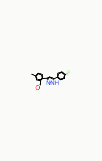 Cc1ccc(-c2cc(-c3ccc(F)cc3)[nH]n2)c(C=O)c1